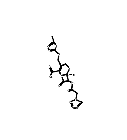 Cc1nnc(SCC2=C(C(=O)O)N3C(=O)C(NC(=O)Cn4cnnn4)[C@@H]3SC2)s1